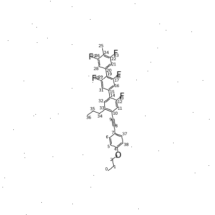 CCCOc1ccc(C#Cc2cc(F)c(-c3cc(F)c(-c4cc(F)c(C)c(F)c4)c(F)c3)cc2CCC)cc1